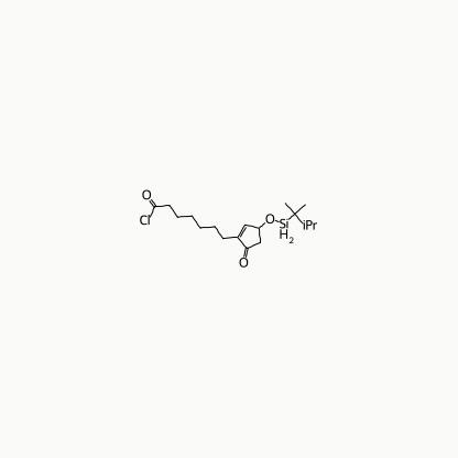 CC(C)C(C)(C)[SiH2]OC1C=C(CCCCCCC(=O)Cl)C(=O)C1